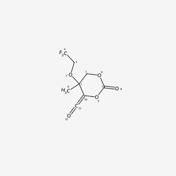 CC1(OCC(F)(F)F)COC(=O)OC1=C=O